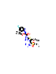 CSc1sc(NC(=O)C(=O)Nc2ccc(F)cc2OCC(C)C)nc1C(N)S(C)(=O)=O